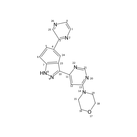 c1cnc(-c2ccc3[nH]nc(-c4cc(N5CCOCC5)ncn4)c3c2)cn1